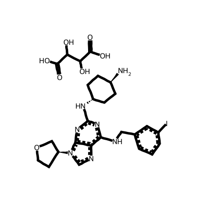 N[C@H]1CC[C@H](Nc2nc(NCc3cccc(I)c3)c3ncn([C@H]4CCOC4)c3n2)CC1.O=C(O)C(O)C(O)C(=O)O